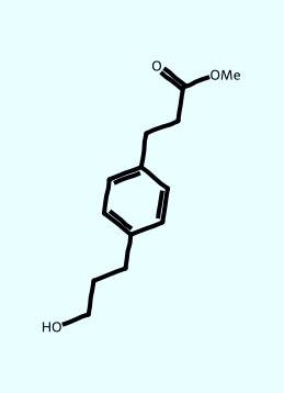 COC(=O)CCc1ccc(CCCO)cc1